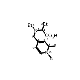 CCC(C(=O)O)N(CC)CC1=CC(C)N(C)C=C1